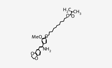 C=C(C)C(=O)OCCCCCCCCCCCOc1ccc(/C(N)=C/c2ccc3c(c2)OCCO3)cc1OC